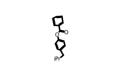 CC(C)Cc1ccc(OC(=O)c2ccccc2)cc1